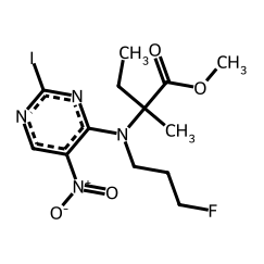 CCC(C)(C(=O)OC)N(CCCF)c1nc(I)ncc1[N+](=O)[O-]